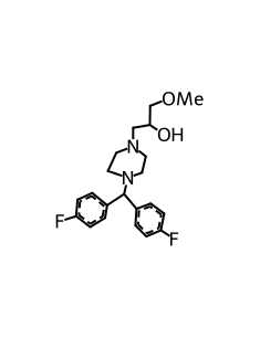 COCC(O)CN1CCN(C(c2ccc(F)cc2)c2ccc(F)cc2)CC1